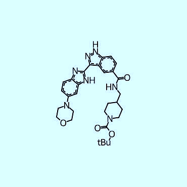 CC(C)(C)OC(=O)N1CCC(CNC(=O)c2ccc3[nH]nc(-c4nc5ccc(N6CCOCC6)cc5[nH]4)c3c2)CC1